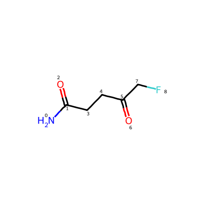 NC(=O)CCC(=O)CF